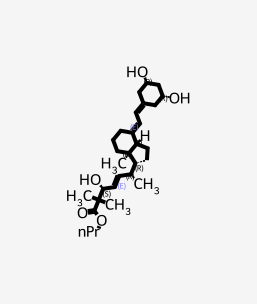 CCCOC(=O)C(C)(C)[C@@H](O)/C=C/[C@@H](C)[C@H]1CC[C@H]2/C(=C/C=C3C[C@@H](O)C[C@H](O)C3)CCC[C@]12C